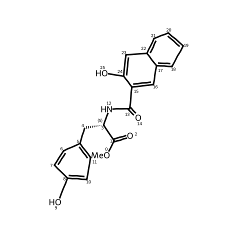 COC(=O)[C@H](Cc1ccc(O)cc1)NC(=O)c1cc2ccccc2cc1O